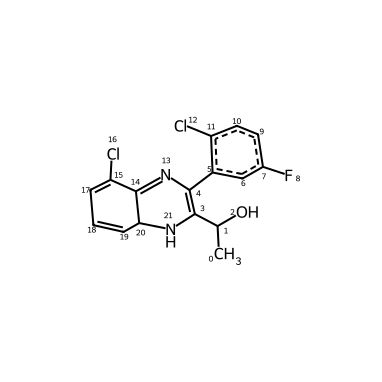 CC(O)C1=C(c2cc(F)ccc2Cl)N=C2C(Cl)=CC=CC2N1